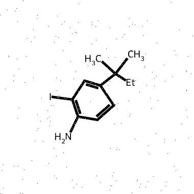 CCC(C)(C)c1ccc(N)c(I)c1